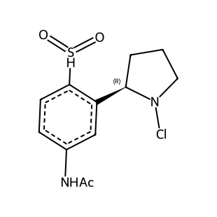 CC(=O)Nc1ccc([SH](=O)=O)c([C@H]2CCCN2Cl)c1